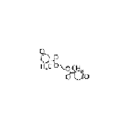 CC1(C(=O)OCCOC(=O)C2(C)CCC3OC3C2)CCC2OC2C1